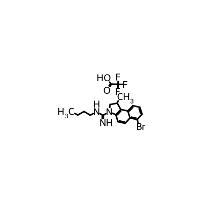 CCCCNC(=N)N1CC(C)c2c1ccc1c(Br)cccc21.O=C(O)C(F)(F)F